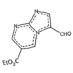 CCOC(=O)c1cnc2ncc(C=O)n2c1